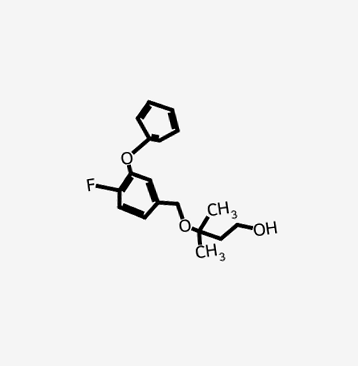 CC(C)(CCO)OCc1ccc(F)c(Oc2ccccc2)c1